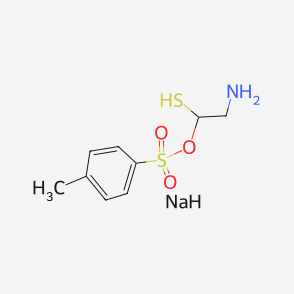 Cc1ccc(S(=O)(=O)OC(S)CN)cc1.[NaH]